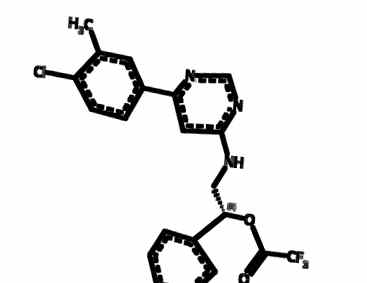 Cc1cc(-c2cc(NC[C@H](OC(=O)C(F)(F)F)c3ccccc3)ncn2)ccc1Cl